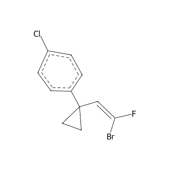 FC(Br)=CC1(c2ccc(Cl)cc2)CC1